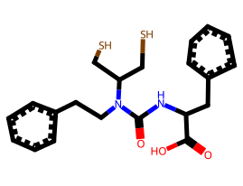 O=C(O)C(Cc1ccccc1)NC(=O)N(CCc1ccccc1)C(CS)CS